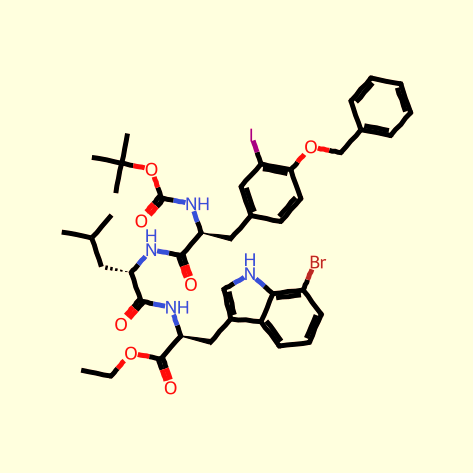 CCOC(=O)[C@H](Cc1c[nH]c2c(Br)cccc12)NC(=O)[C@H](CC(C)C)NC(=O)[C@H](Cc1ccc(OCc2ccccc2)c(I)c1)NC(=O)OC(C)(C)C